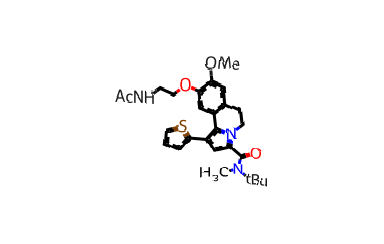 COc1cc2c(cc1OCCNC(C)=O)-c1c(-c3cccs3)cc(C(=O)N(C)C(C)(C)C)n1CC2